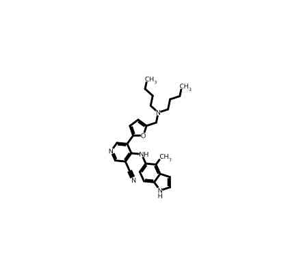 CCCCN(CCCC)Cc1ccc(-c2cncc(C#N)c2Nc2ccc3[nH]ccc3c2C)o1